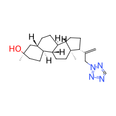 C=C(Cn1ncnn1)[C@H]1CC[C@H]2[C@@H]3CC[C@H]4C[C@](C)(O)CC[C@@H]4[C@H]3CC[C@]12C